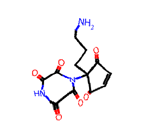 NCCCC1(N2C(=O)C(=O)NC(=O)C2=O)C(=O)C=CC1=O